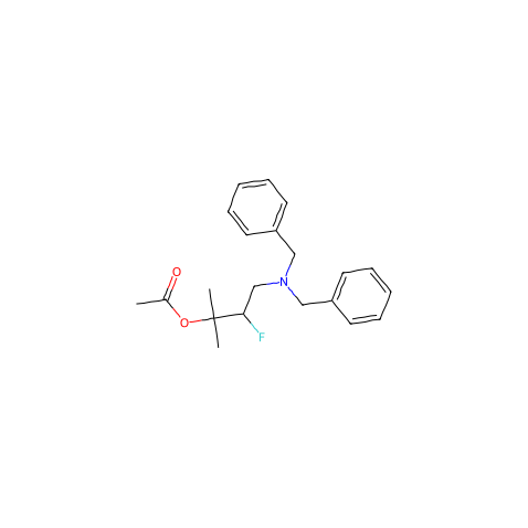 CC(=O)OC(C)(C)C(F)CN(Cc1ccccc1)Cc1ccccc1